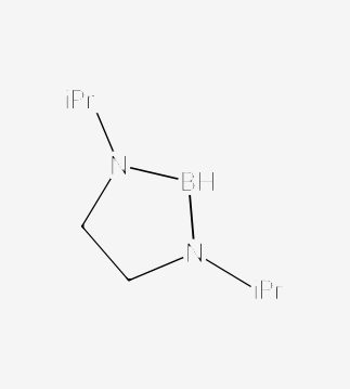 CC(C)N1BN(C(C)C)CC1